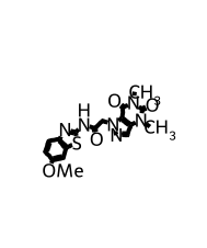 COc1ccc2nc(NC(=O)Cn3ncc4c3c(=O)n(C)c(=O)n4C)sc2c1